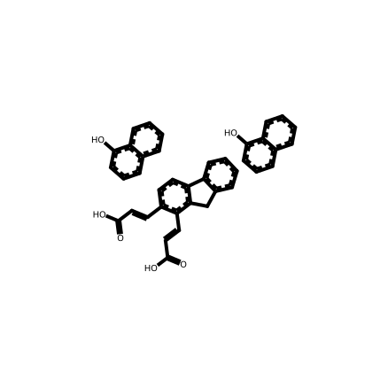 O=C(O)C=Cc1ccc2c(c1C=CC(=O)O)Cc1ccccc1-2.Oc1cccc2ccccc12.Oc1cccc2ccccc12